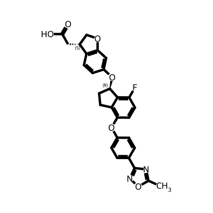 Cc1nc(-c2ccc(Oc3ccc(F)c4c3CC[C@H]4Oc3ccc4c(c3)OC[C@H]4CC(=O)O)cc2)no1